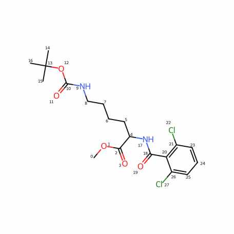 COC(=O)C(CCCCNC(=O)OC(C)(C)C)NC(=O)c1c(Cl)cccc1Cl